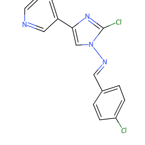 Clc1ccc(C=Nn2cc(-c3cccnc3)nc2Cl)cc1